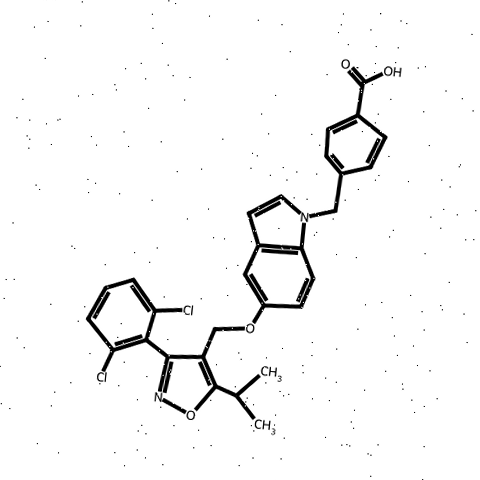 CC(C)c1onc(-c2c(Cl)cccc2Cl)c1COc1ccc2c(ccn2Cc2ccc(C(=O)O)cc2)c1